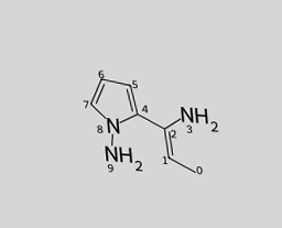 CC=C(N)c1cccn1N